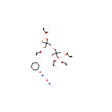 C1CCCCC1.C=CC(=O)OCC(CO)(COCC(COC(=O)C=C)(COC(=O)C=C)COC(=O)C=C)COC(=O)C=C.N=C=O.N=C=O